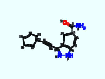 NC(=O)c1ccc2[nH]nc(C#Cc3ccccc3)c2c1